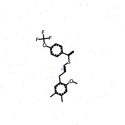 C=C(S/C=C/Cc1cc(C)c(C)cc1OC)c1ccc(OC(F)(F)F)cc1